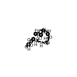 O=C1CCC(N2Cc3c(NC(=O)CCNCCn4cc(CNC(=O)c5ccc(Nc6ncc7c(n6)-c6ccc(Cl)cc6C(c6c(F)cccc6F)=NC7)cc5)nn4)cccc3C2=O)C(=O)N1